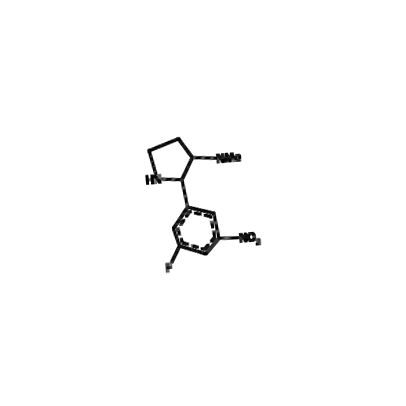 CNC1CCNC1c1cc(F)cc([N+](=O)[O-])c1